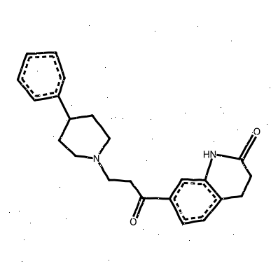 O=C1CCc2ccc(C(=O)CCN3CCC(c4ccccc4)CC3)cc2N1